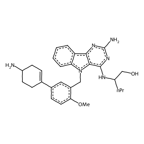 CCCC(CO)Nc1nc(N)nc2c3ccccc3n(Cc3cc(C4=CCC(N)CC4)ccc3OC)c12